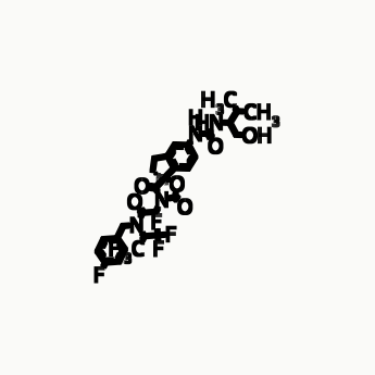 CC(C)C(CO)NC(=O)Nc1ccc2c(c1)CC[C@@]21OC(=O)N(CC(=O)N(Cc2ccc(F)cc2)C(C)C(F)(F)F)C1=O